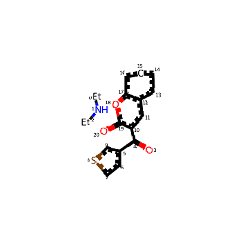 CCNCC.O=C(c1ccsc1)c1cc2ccccc2oc1=O